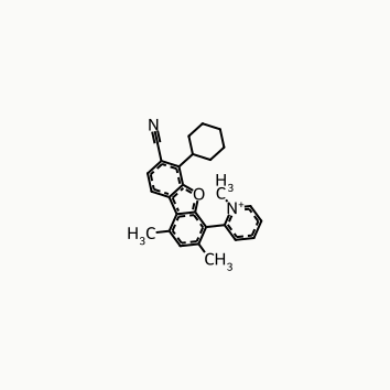 Cc1cc(C)c2c(oc3c(C4CCCCC4)c(C#N)ccc32)c1-c1cccc[n+]1C